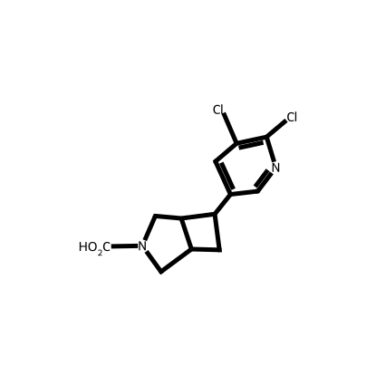 O=C(O)N1CC2CC(c3cnc(Cl)c(Cl)c3)C2C1